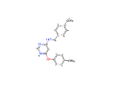 CNc1ccc(Oc2cc(NCc3ccc(OC)cc3)ncn2)cc1